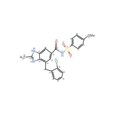 COc1ccc(S(=O)(=O)NC(=O)c2cc(Cc3ccccc3Cl)c3nc(C)[nH]c3c2)cc1